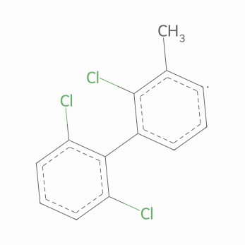 Cc1[c]ccc(-c2c(Cl)cccc2Cl)c1Cl